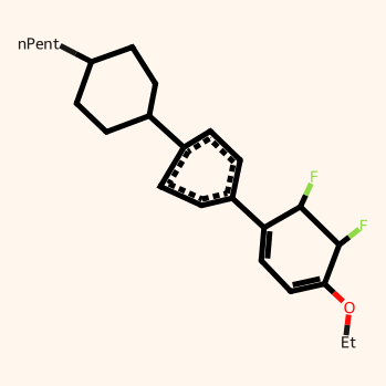 CCCCCC1CCC(c2ccc(C3=CC=C(OCC)C(F)C3F)cc2)CC1